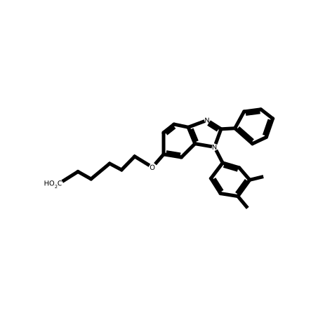 Cc1ccc(-n2c(-c3ccccc3)nc3ccc(OCCCCCC(=O)O)cc32)cc1C